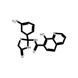 O=C1CSC(NC(=O)c2ccc3cccnc3c2O)(C2C=CC=C([N+](=O)[O-])C2)N1